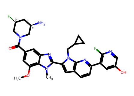 COc1cc(C(=O)N2C[C@H](N)C[C@@H](F)C2)cc2nc(-c3cc4ccc(-c5cc(O)cnc5F)nc4n3CC3CC3)n(C)c12